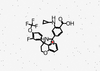 O=C(N[C@]1(c2ccc(OC(F)(F)F)c(F)c2)CCOc2cccnc21)c1ccc(C(=O)O)c(NC2CC2)c1